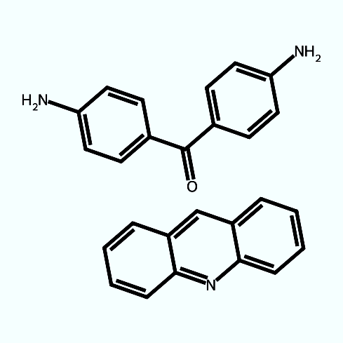 Nc1ccc(C(=O)c2ccc(N)cc2)cc1.c1ccc2nc3ccccc3cc2c1